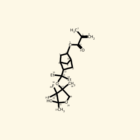 C=C(C)C(=O)OC1CC2CC1CC2C(CC)(CC)OC1(C)COC(C)(O)C1(F)F